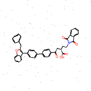 O=C(CC(CCN1C(=O)c2ccccc2C1=O)C(=O)O)c1ccc(-c2ccc(-c3c(Cc4ccccc4)oc4ccccc34)cc2)cc1